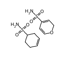 NS(=O)(=O)C1=CCOC=C1.NS(=O)(=O)C1CC=CCC1